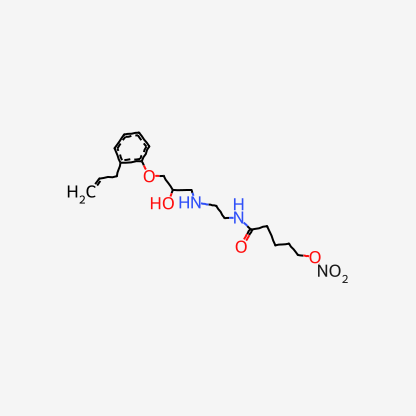 C=CCc1ccccc1OCC(O)CNCCNC(=O)CCCCO[N+](=O)[O-]